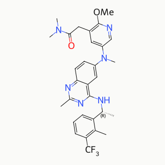 COc1ncc(N(C)c2ccc3nc(C)nc(N[C@H](C)c4cccc(C(F)(F)F)c4C)c3c2)cc1CC(=O)N(C)C